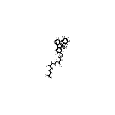 CC(C)CCCC(C)CCCC(C)CCOc1ccc2c(c1)C(Br)(c1ccccc1)c1ccccc1-2